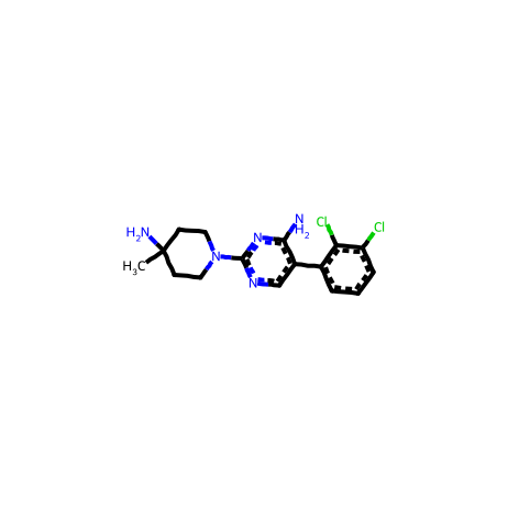 CC1(N)CCN(c2ncc(-c3cccc(Cl)c3Cl)c(N)n2)CC1